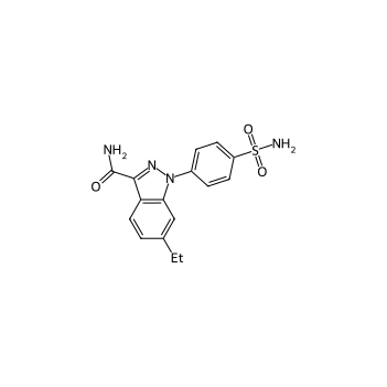 CCc1ccc2c(C(N)=O)nn(-c3ccc(S(N)(=O)=O)cc3)c2c1